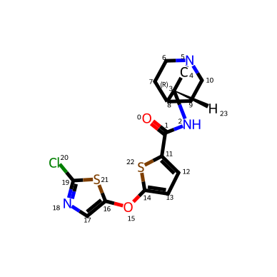 O=C(N[C@H]1CN2CCC1CC2)c1ccc(Oc2cnc(Cl)s2)s1